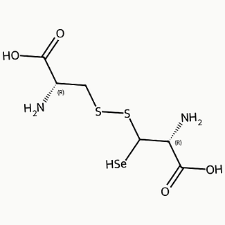 N[C@H](C(=O)O)C([SeH])SSC[C@H](N)C(=O)O